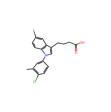 Cc1cc(-n2cc(CCCC(=O)O)c3cc(I)ccc32)ccc1Cl